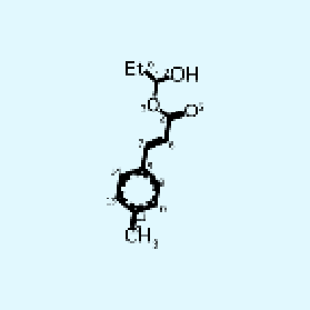 CCC(O)OC(=O)C=Cc1ccc(C)cc1